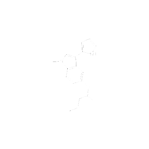 COCC(C)Oc1ccc2c(c1)c(-c1ccc[nH]1)cn2C